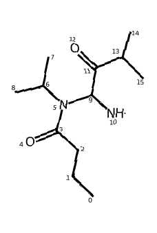 CCCC(=O)N(C(C)C)C([NH])C(=O)C(C)C